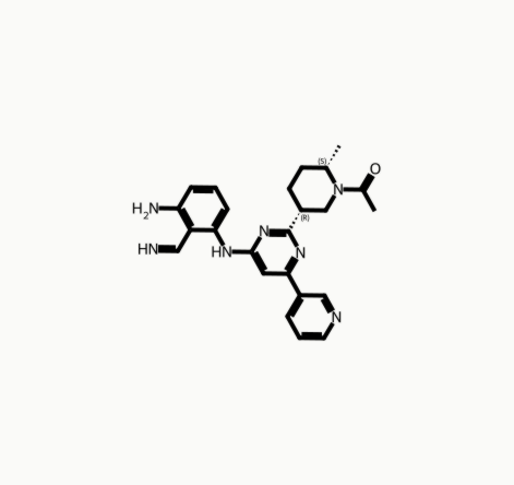 CC(=O)N1C[C@H](c2nc(Nc3cccc(N)c3C=N)cc(-c3cccnc3)n2)CC[C@@H]1C